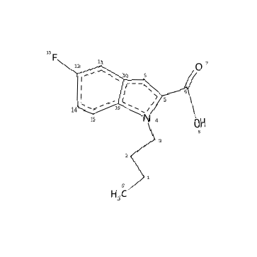 CCCCn1c(C(=O)O)cc2cc(F)ccc21